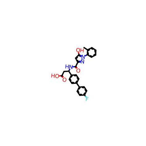 Cc1ccccc1-n1nc(C(=O)NC(CC(=O)O)c2ccc(-c3ccc(F)cc3)cc2)cc1O